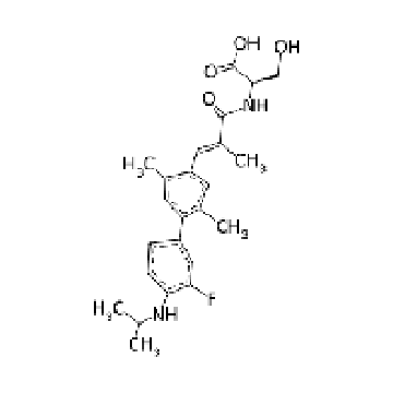 C/C(=C\c1cc(C)c(-c2ccc(NC(C)C)c(F)c2)cc1C)C(=O)N[C@H](CO)C(=O)O